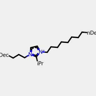 CCCCCCCCCCCCCCCCCC[n+]1ccn(CCCCCCCCCCCCC)c1C(C)C